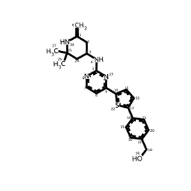 C=C1CC(Nc2nccc(-c3ccc(-c4ccc(CO)cc4)s3)n2)CC(C)(C)N1